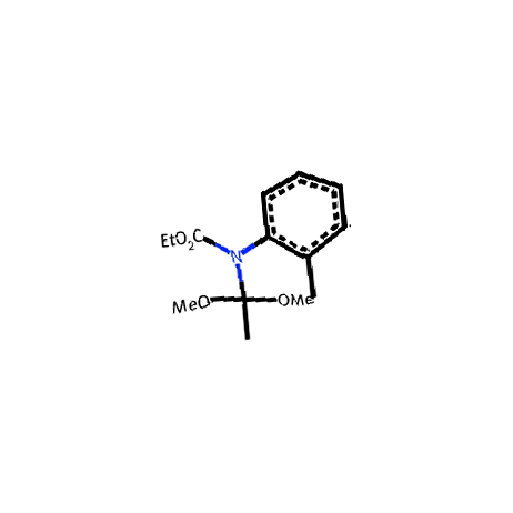 CCOC(=O)N(c1ccc[c]c1C)C(C)(OC)OC